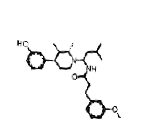 COc1cccc(CCC(=O)NC(CC(C)C)N2CC[C@@H](c3cccc(O)c3)[C@@H](C)[C@@H]2C)c1